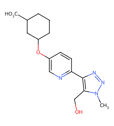 Cn1nnc(-c2ccc(OC3CCCC(C(=O)O)C3)cn2)c1CO